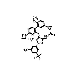 COc1ccc(C2C[C@H]2C(=O)O)cc1-c1cnc(N2CCC2)nc1CN1C(=O)O[C@H](c2cc(C)cc(C(F)(F)F)c2)[C@@H]1C